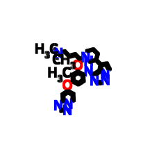 Cc1cc(Nc2ncnn3ccc(C4CCCN(C(=O)/C=C/CN(C)C)C4)c23)ccc1Oc1ccn2ncnc2c1